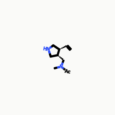 C=C[C@H]1CNC[C@H]1CN(C)C(C)=O